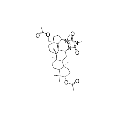 CC(=O)OC[C@]12CCC3(C(C)C)C1=C1C(CC4[C@@]5(C)CC[C@H](OC(C)=O)C(C)(C)C5CC[C@@]4(C)[C@]1(C)CC2)n1c(=O)n(C)c(=O)n13